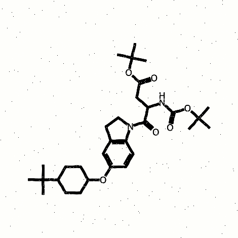 CC(C)(C)OC(=O)CC(NC(=O)OC(C)(C)C)C(=O)N1CCc2cc(OC3CCC(C(C)(C)C)CC3)ccc21